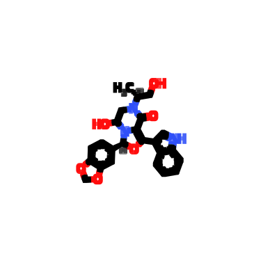 C[C@H](CO)N1CC(O)N2C(=C(c3c[nH]c4ccccc34)O[C@H]2c2ccc3c(c2)OCO3)C1=O